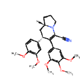 COc1ccc([C@@H]2C[C@@H]3CCCN3C(C#N)=C2c2cc(OC)c(OC)c(OC)c2)cc1OC